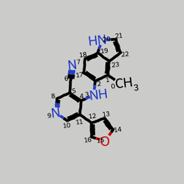 Cc1c(Nc2c(C#N)cncc2-c2ccoc2)ccc2[nH]ccc12